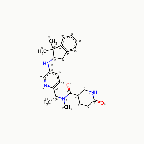 CN(C(=O)C1CCC(=O)NC1)[C@@H](c1ccc(NC2Cc3ccccc3C2(C)C)cn1)C(F)(F)F